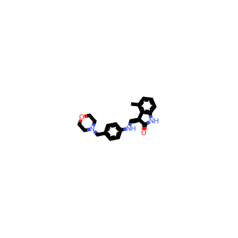 Cc1cccc2c1C(=CNc1ccc(CN3CCOCC3)cc1)C(=O)N2